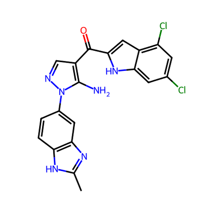 Cc1nc2cc(-n3ncc(C(=O)c4cc5c(Cl)cc(Cl)cc5[nH]4)c3N)ccc2[nH]1